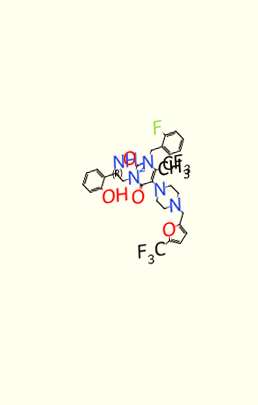 Cc1c(N2CCN(Cc3ccc(C(F)(F)F)o3)CC2)c(=O)n(C[C@H](N)c2ccccc2O)c(=O)n1Cc1c(F)cccc1C(F)(F)F